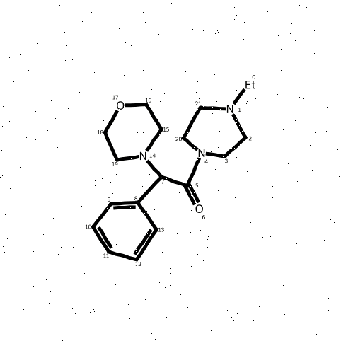 CCN1CCN(C(=O)C(c2ccccc2)N2CCOCC2)CC1